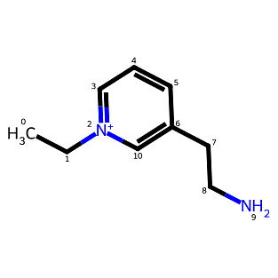 CC[n+]1cccc(CCN)c1